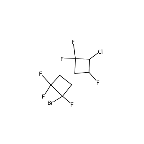 FC1(F)CCC1(F)Br.FC1CC(F)(F)C1Cl